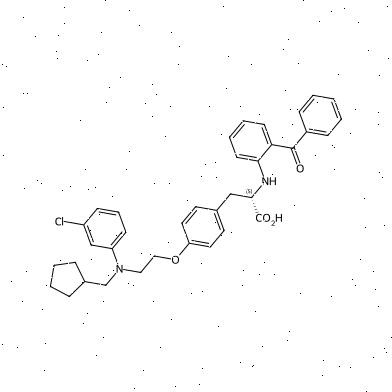 O=C(c1ccccc1)c1ccccc1N[C@@H](Cc1ccc(OCCN(CC2CCCC2)c2cccc(Cl)c2)cc1)C(=O)O